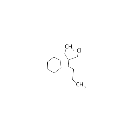 C1CCCCC1.CCCCC(CC)CCl